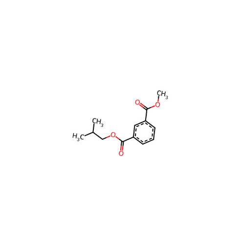 COC(=O)c1cccc(C(=O)OCC(C)C)c1